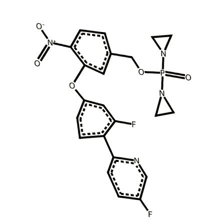 O=[N+]([O-])c1ccc(COP(=O)(N2CC2)N2CC2)cc1Oc1ccc(-c2ccc(F)cn2)c(F)c1